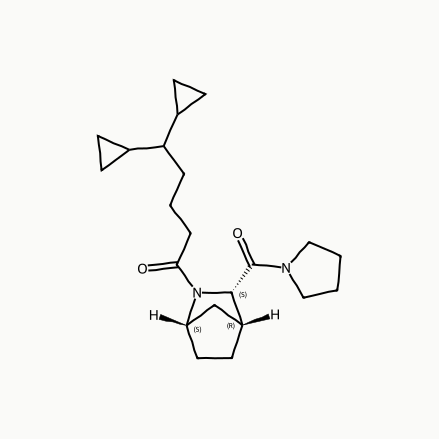 O=C([C@@H]1[C@@H]2CC[C@@H](C2)N1C(=O)CCCC(C1CC1)C1CC1)N1CCCC1